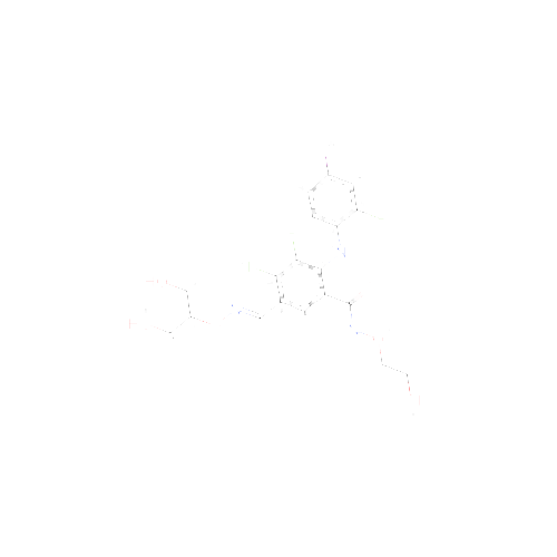 O=C(NOCCO)c1cc(/C=N/OC(CO)CO)c(F)c(F)c1Nc1ccc(I)cc1F